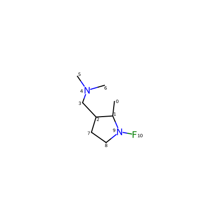 CC1C(CN(C)C)CCN1F